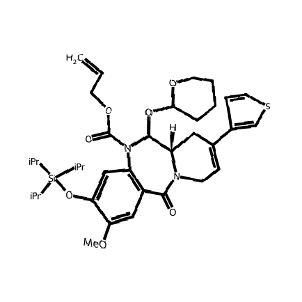 C=CCOC(=O)N1c2cc(O[Si](C(C)C)(C(C)C)C(C)C)c(OC)cc2C(=O)N2CC=C(c3ccsc3)C[C@H]2C1OC1CCCCO1